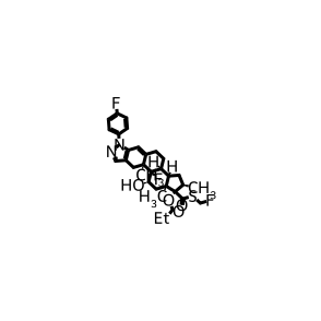 CCC(=O)O[C@]1(C(=O)SCF)[C@H](C)C[C@H]2[C@@H]3CCC4=Cc5c(cnn5-c5ccc(F)cc5)C[C@]4(C)[C@@]3(F)[C@@H](O)C[C@@]21C